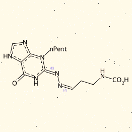 CCCCCn1/c(=N/N=C\CCNC(=O)O)[nH]c(=O)c2[nH]cnc21